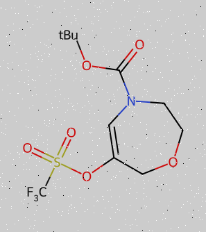 CC(C)(C)OC(=O)N1C=C(OS(=O)(=O)C(F)(F)F)COCC1